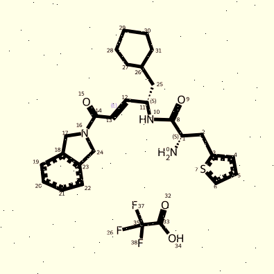 N[C@@H](Cc1cccs1)C(=O)N[C@H](/C=C/C(=O)N1Cc2ccccc2C1)CC1CCCCC1.O=C(O)C(F)(F)F